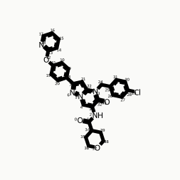 O=C(Nc1cn2nc(-c3ccc(Oc4ccccn4)cc3)cc2n(Cc2ccc(Cl)cc2)c1=O)C1CCOCC1